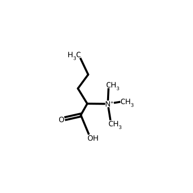 CCCC(C(=O)O)[N+](C)(C)C